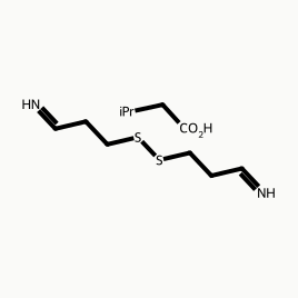 CC(C)CC(=O)O.N=CCCSSCCC=N